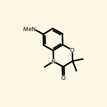 CNc1ccc2c(c1)N(C)C(=O)C(C)(C)O2